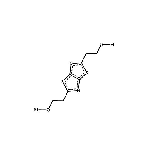 CCOCCc1nc2sc(CCOCC)nc2s1